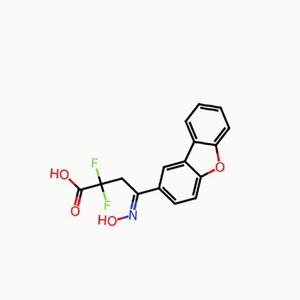 O=C(O)C(F)(F)CC(=NO)c1ccc2oc3ccccc3c2c1